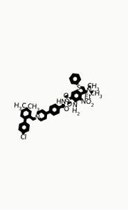 CCC(CSc1ccccc1)(c1ccc(S(=O)(=O)NC(=O)c2ccc(C3=CCN(CC4=C(c5ccc(Cl)cc5)CCC(C)(C)C4)CC3)cc2)c(N)c1[N+](=O)[O-])N(C)C